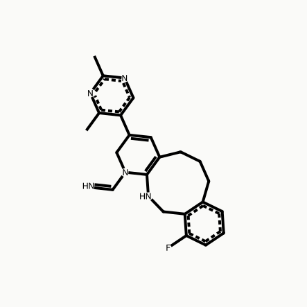 Cc1ncc(C2=CC3=C(NCc4c(F)cccc4CCC3)N(C=N)C2)c(C)n1